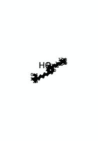 CCC1(CCCCCc2ccc(CCCCC3(C)CC3)c(O)c2)CC1